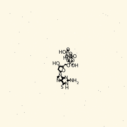 Nc1nc2c(ncn2[C@H]2C[C@H](O)[C@@H](COP(=O)(O)OP(=O)(O)OP(=O)(O)O)O2)c(=S)[nH]1